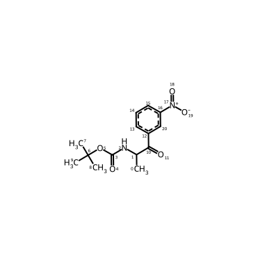 CC(NC(=O)OC(C)(C)C)C(=O)c1cccc([N+](=O)[O-])c1